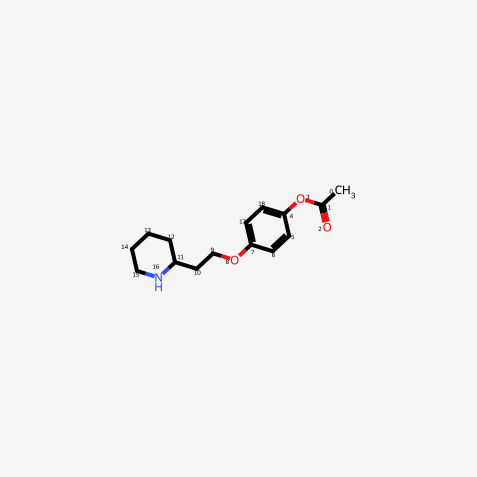 CC(=O)Oc1ccc(OCCC2CCCCN2)cc1